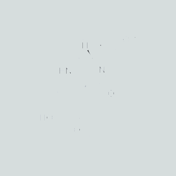 COc1cc2c(cc1O)NC[C@@H]1CC(=O)CN1C2=O